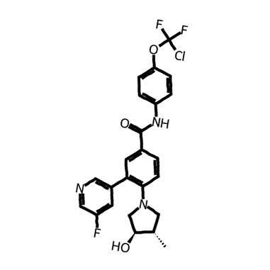 C[C@H]1CN(c2ccc(C(=O)Nc3ccc(OC(F)(F)Cl)cc3)cc2-c2cncc(F)c2)C[C@@H]1O